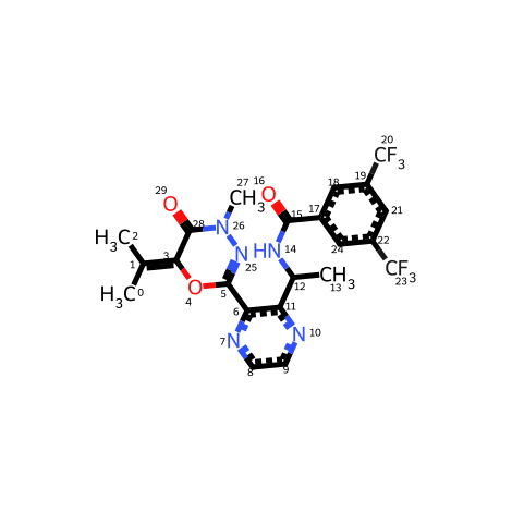 CC(C)=C1OC(c2nccnc2C(C)NC(=O)c2cc(C(F)(F)F)cc(C(F)(F)F)c2)=NN(C)C1=O